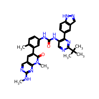 CNc1ncc2cc(-c3cc(NC(=O)Nc4cnc(C(C)(C)C)nc4-c4ccc5[nH]ncc5c4)ccc3C)c(=O)n(C)c2n1